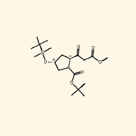 COC(=O)CC(=O)[C@@H]1C[C@@H](O[Si](C)(C)C(C)(C)C)CN1C(=O)OC(C)(C)C